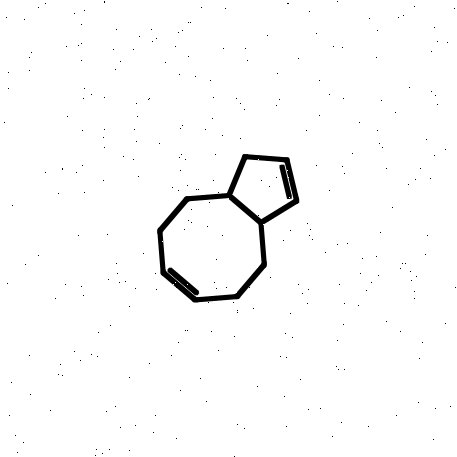 C1=CCCC2CC=CC2CC1